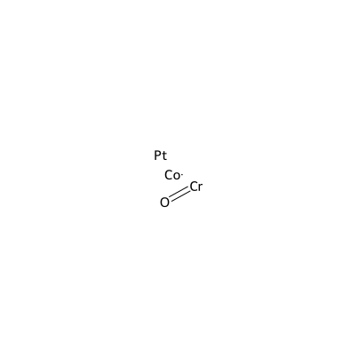 [Co].[O]=[Cr].[Pt]